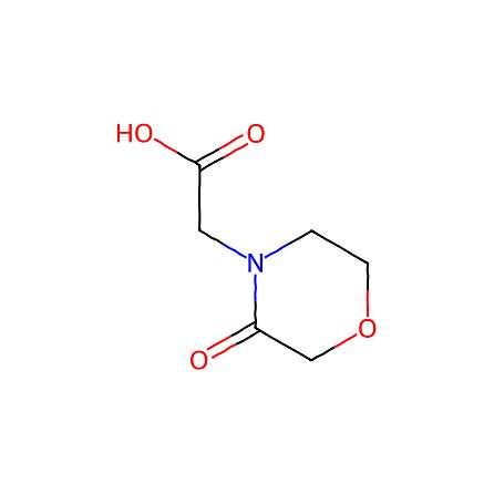 O=C(O)CN1CCOCC1=O